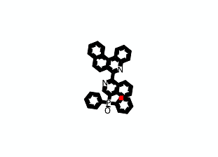 O=P(c1ccccc1)(c1ccccc1)c1cnc(-c2nc3ccccc3c3c2ccc2ccccc23)c2ccccc12